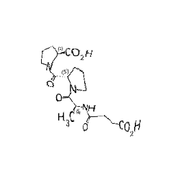 C[C@H](NC(=O)CCC(=O)O)C(=O)N1CCC[C@H]1C(=O)N1CCC[C@H]1C(=O)O